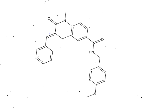 CSc1ccc(CNC(=O)c2ccc3c(c2)C/C(=C\c2ccccc2)C(=O)N3C)cc1